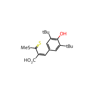 CSC(=S)C(=Cc1cc(C(C)(C)C)c(O)c(C(C)(C)C)c1)C(=O)O